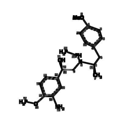 COc1ccc(C[C@@H](C)N(C[C@H](O)c2ccc(OP)c(N)c2)PP)cc1